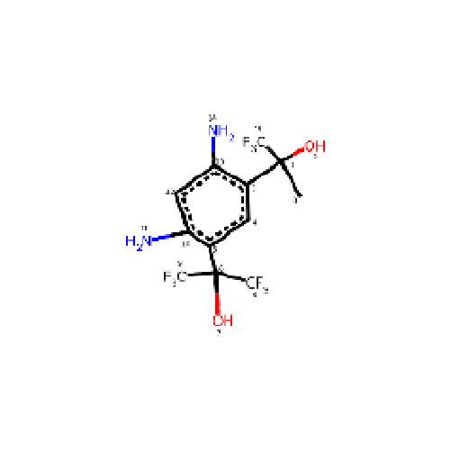 CC(O)(c1cc(C(O)(C(F)(F)F)C(F)(F)F)c(N)cc1N)C(F)(F)F